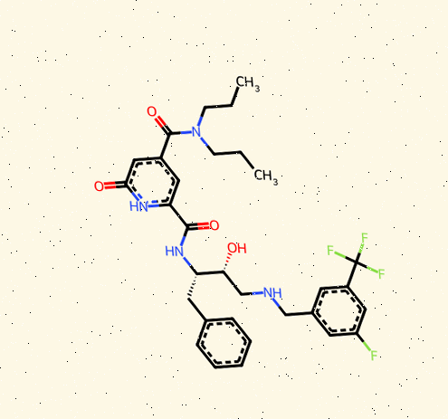 CCCN(CCC)C(=O)c1cc(C(=O)N[C@@H](Cc2ccccc2)[C@H](O)CNCc2cc(F)cc(C(F)(F)F)c2)[nH]c(=O)c1